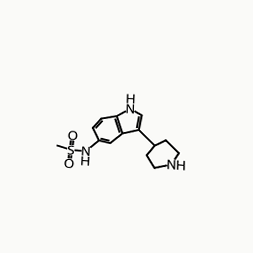 CS(=O)(=O)Nc1ccc2[nH]cc(C3CCNCC3)c2c1